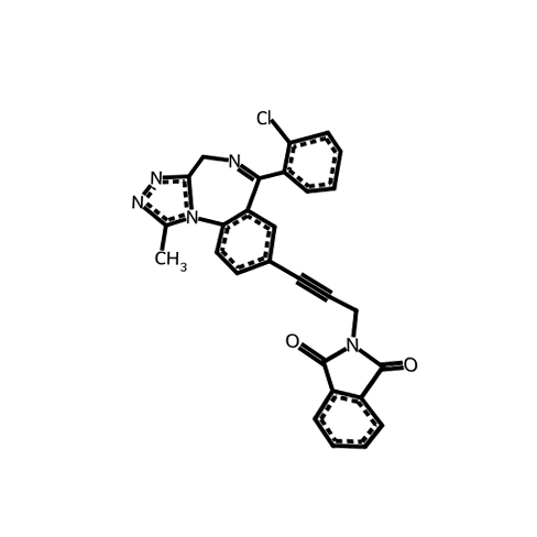 Cc1nnc2n1-c1ccc(C#CCN3C(=O)c4ccccc4C3=O)cc1C(c1ccccc1Cl)=NC2